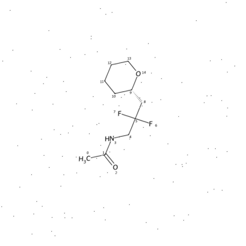 CC(=O)NCC(F)(F)C[C@@H]1CCCCO1